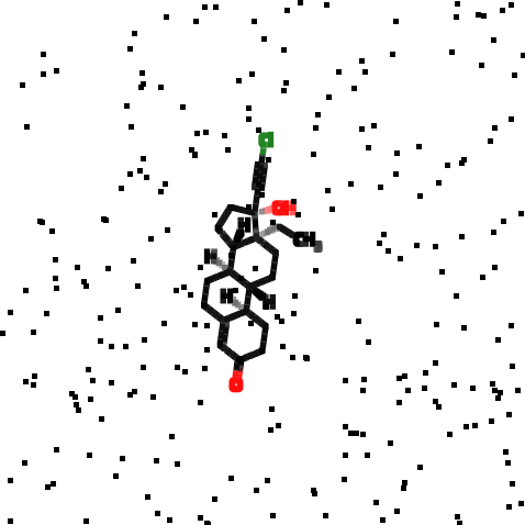 CC[C@]12CC[C@H]3[C@@H](CCC4=CC(=O)CC[C@@H]43)[C@@H]1CC[C@@]2(O)C#CCl